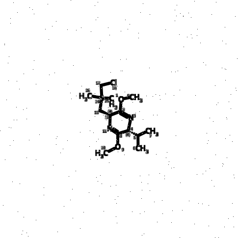 COC1=N[C@H](C(C)C)C(OC)=N[C@H]1CS(C)(C)CCl